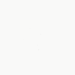 Cc1cc(F)ccc1Oc1cccc(Cl)c1C